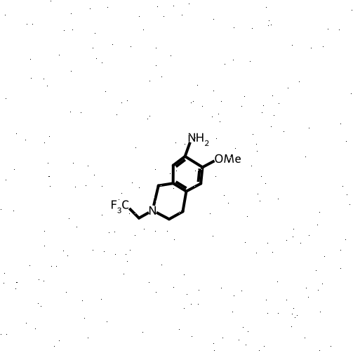 COc1cc2c(cc1N)CN(CC(F)(F)F)CC2